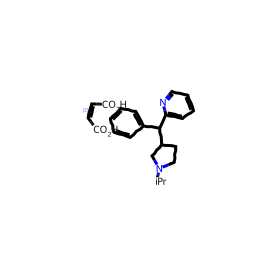 CC(C)N1CCC(C(c2ccccc2)c2ccccn2)C1.O=C(O)/C=C\C(=O)O